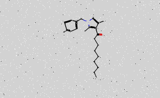 CCCCCCCCCCCCCCCCCC(=O)c1c(C)cn(Cc2ccc(OC)cc2)c1C